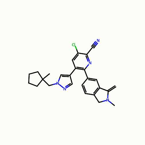 C=C1c2cc(-c3nc(C#N)c(Cl)cc3-c3cnn(CC4(C)CCCC4)c3)ccc2CN1C